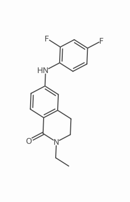 CCN1CCc2cc(Nc3ccc(F)cc3F)ccc2C1=O